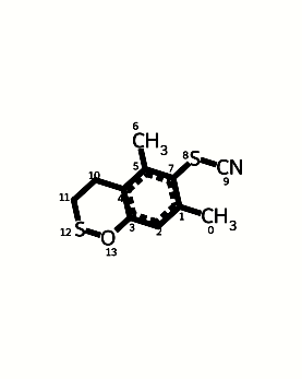 Cc1cc2c(c(C)c1SC#N)CCSO2